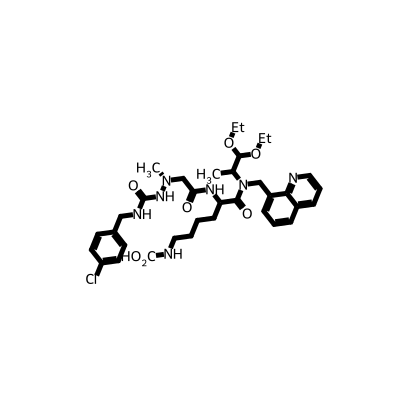 CCOC(OCC)C(C)N(Cc1cccc2cccnc12)C(=O)C(CCCCNC(=O)O)NC(=O)CN(C)NC(=O)NCc1ccc(Cl)cc1